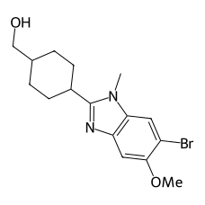 COc1cc2nc(C3CCC(CO)CC3)n(C)c2cc1Br